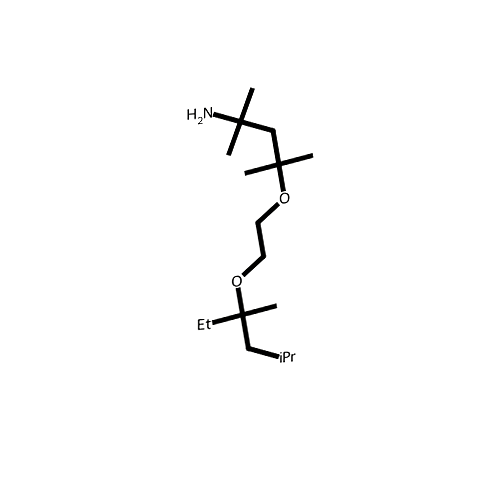 CCC(C)(CC(C)C)OCCOC(C)(C)CC(C)(C)N